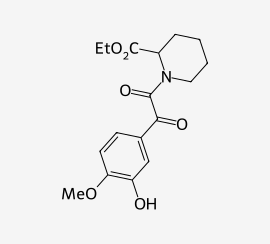 CCOC(=O)C1CCCCN1C(=O)C(=O)c1ccc(OC)c(O)c1